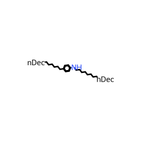 CCCCCCCCCCCCCCCCCCNc1ccc(CCCCCCCCCCCCCCCC)cc1